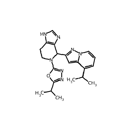 CC(C)c1nnc(N2CCc3[nH]cnc3C2c2cc3c(C(C)C)cccn3n2)o1